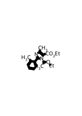 CCOC(=O)c1c(C)nc(-c2ccccc2C)n1C(C)OCC